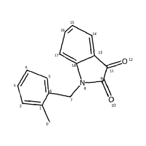 Cc1ccccc1CN1C(=O)C(=O)c2ccccc21